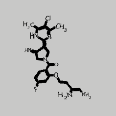 CC1=N/C(=C2\CN(C(=O)c3ccc(F)cc3OCC/C(N)=C/N)CC2=N)NC(C)=C1Cl